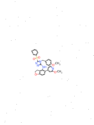 COc1ccc(Cn2c(Nc3c(-c4ccnc(OC)c4)ccc4c3CCO4)nnc2S(=O)(=O)c2ccccc2)cc1